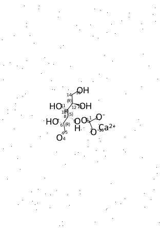 O=C([O-])[O-].O=C[C@H](O)[C@@H](O)[C@H](O)[C@H](O)CO.[Ca+2]